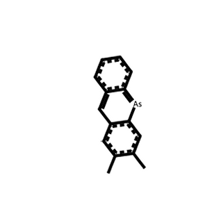 Cc1[c]c2c(cc1C)[As]=c1ccccc1=C2